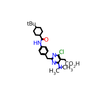 CN(C)c1nc(Cc2ccc(NC(=O)C3CCC(C(C)(C)C)CC3)cc2)nc(Cl)c1CC(=O)O